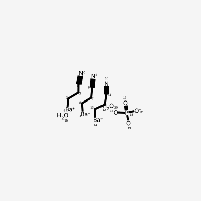 N#CC[CH2][Ba+].N#CC[CH2][Ba+].N#CC[CH2][Ba+].O.O.O=P([O-])([O-])[O-]